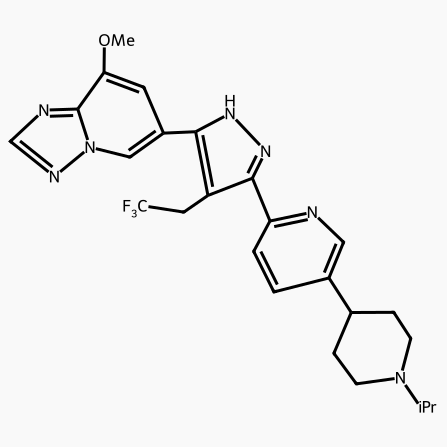 COc1cc(-c2[nH]nc(-c3ccc(C4CCN(C(C)C)CC4)cn3)c2CC(F)(F)F)cn2ncnc12